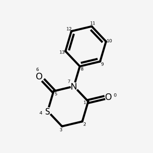 O=C1CCSC(=O)N1c1ccccc1